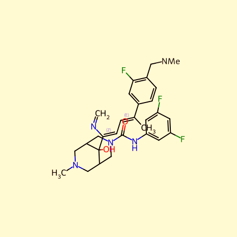 C=N/C(=C\C=C(/C)c1ccc(CNC)c(F)c1)C1(O)C2CN(C)CC1CN(C(=O)Nc1cc(F)cc(F)c1)C2